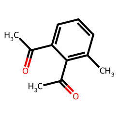 CC(=O)c1cccc(C)c1C(C)=O